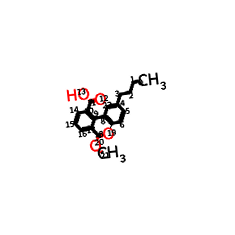 CCCCc1cccc(-c2c(C(=O)O)cccc2C(=O)OC)c1